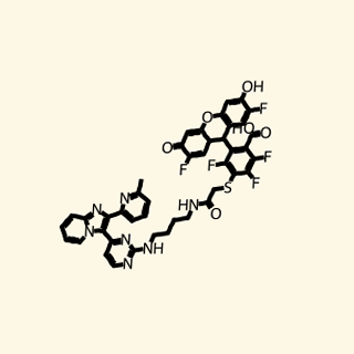 Cc1cccc(-c2nc3ccccn3c2-c2ccnc(NCCCCNC(=O)CSc3c(F)c(F)c(C(=O)O)c(C4c5cc(F)c(O)cc5OC5=CC(=O)C(F)=CC54)c3F)n2)n1